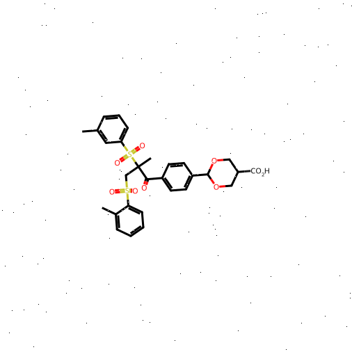 Cc1cccc(S(=O)(=O)C(C)(CS(=O)(=O)c2ccccc2C)C(=O)c2ccc(C3OCC(C(=O)O)CO3)cc2)c1